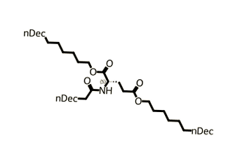 CCCCCCCCCCCCCCCCOC(=O)CC[C@H](NC(=O)CCCCCCCCCCC)C(=O)OCCCCCCCCCCCCCCCC